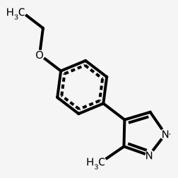 CCOc1ccc(C2=C[N]N=C2C)cc1